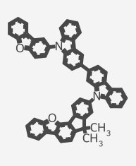 CC1(C)c2cc(-n3c4ccccc4c4ccc(-c5ccc6c(c5)c5ccccc5n6-c5ccc6oc7ccccc7c6c5)cc43)ccc2-c2c1ccc1c2oc2ccccc21